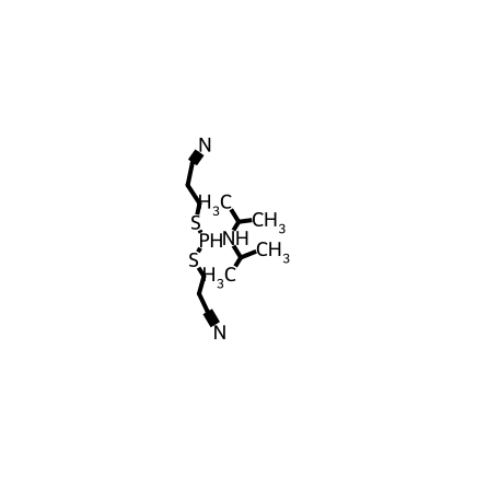 CC(C)NC(C)C.N#CCCSPSCCC#N